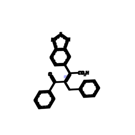 O=C(O)/C(=C(\Cc1ccccc1)C(=O)c1ccccc1)c1ccc2nsnc2c1